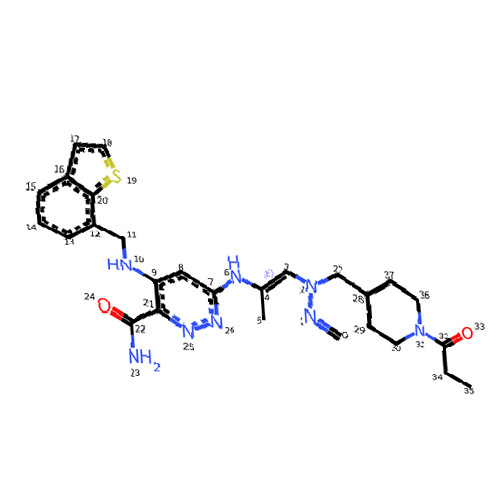 C=NN(/C=C(\C)Nc1cc(NCc2cccc3ccsc23)c(C(N)=O)nn1)CC1CCN(C(=O)CC)CC1